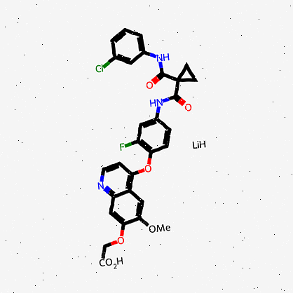 COc1cc2c(Oc3ccc(NC(=O)C4(C(=O)Nc5cccc(Cl)c5)CC4)cc3F)ccnc2cc1OCC(=O)O.[LiH]